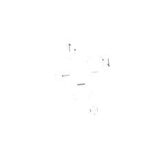 CCOc1ccc(C(=O)/C(=C/N(C)C)c2ccncc2)cc1